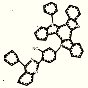 N#Cc1cc(-n2c3ccccc3c3c4sc5ccccc5c4c4c(c5ccccc5n4-c4ccccc4)c32)ccc1-c1nc(-c2ccccc2)c2ccccc2n1